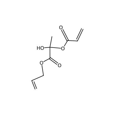 C=CCOC(=O)C(C)(O)OC(=O)C=C